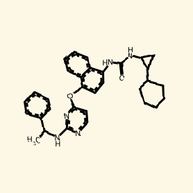 CC(Nc1nccc(Oc2ccc(NC(=O)NC3CC3C3CCCCC3)c3ccccc23)n1)c1ccccc1